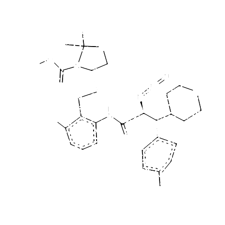 CC(C)(C)OC(=O)N1[C@@H](CCc2c(F)cccc2NC(=O)[C@@H](N=[N+]=[N-])[C@@H](c2ccc(Cl)cc2)C2CCOCC2)COC1(C)C